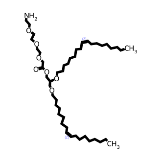 CCCCCCCC/C=C\CCCCCCCCOCC(COC(=O)COCCOCCOCCN)OCCCCCCCC/C=C\CCCCCCCC